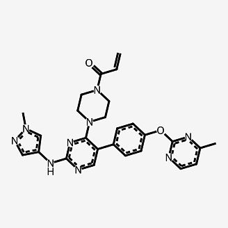 C=CC(=O)N1CCN(c2nc(Nc3cnn(C)c3)ncc2-c2ccc(Oc3nccc(C)n3)cc2)CC1